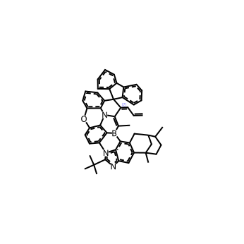 C=C/C=C1\C2=C(C)B3c4c(ccc5c4N2c2c(cccc2C12c1ccccc1-c1ccccc12)O5)-n1c(C(C)(C)C)nc2cc4c(c3c21)CC1CC4(C)CCC1C